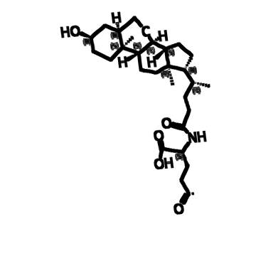 C[C@H](CCC(=O)N[C@@H](CC[C]=O)C(=O)O)[C@H]1CC[C@H]2[C@@H]3CC[C@@H]4C[C@H](O)CC[C@]4(C)[C@H]3CC[C@]12C